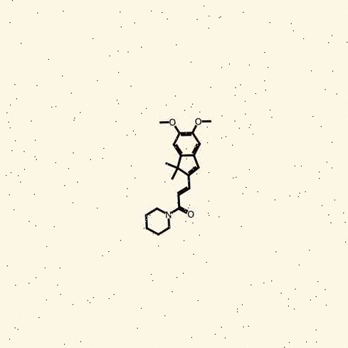 COc1cc2c(cc1OC)C(C)(C)C(/C=C/C(=O)N1CC[CH]CC1)=C2